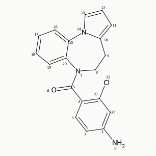 Nc1ccc(C(=O)N2CCc3cccn3-c3ccccc32)c(Cl)c1